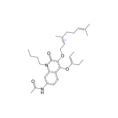 CC=C(CC)Oc1c(OC/C=C(\C)CCC=C(C)C)c(=O)n(CCCC)c2cc(NC(C)=O)ccc12